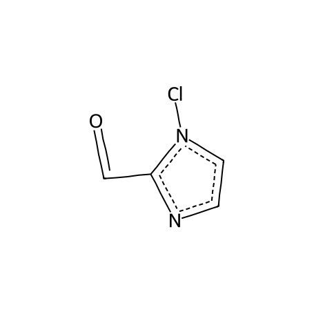 O=Cc1nccn1Cl